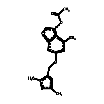 CC(=O)Oc1csc2cc(OCc3cc(C)nn3C)cc(C)c12